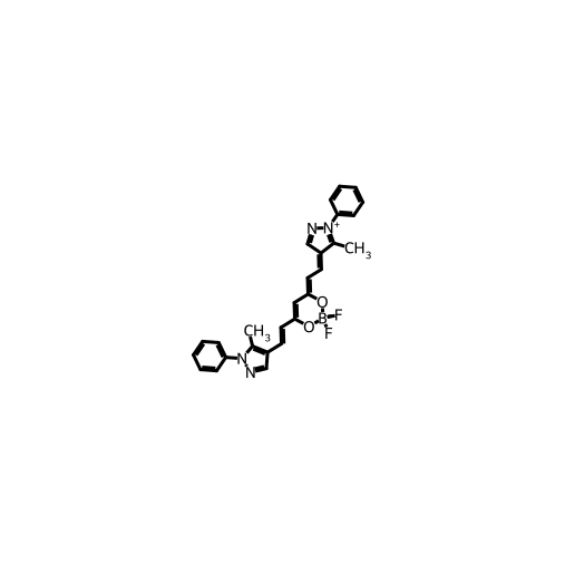 CC1=[N+](c2ccccc2)N=CC1=CC=C1C=C(/C=C/c2cnn(-c3ccccc3)c2C)O[B-](F)(F)O1